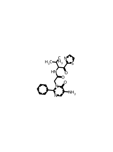 CC(C)C(NC(=O)Cn1c(-c2ccccc2)ncc(N)c1=O)C(=O)c1nccs1